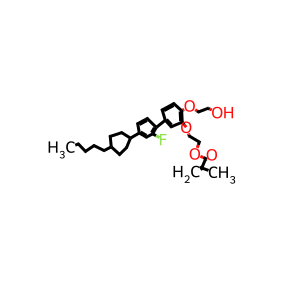 C=C(C)C(=O)OCCOc1cc(-c2ccc(C3CCC(CCCCC)CC3)cc2F)ccc1OCCO